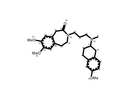 COc1ccc2c(c1)CCC(N(C)CCCN1CCc3cc(OC)c(OC)cc3CC1=O)C2